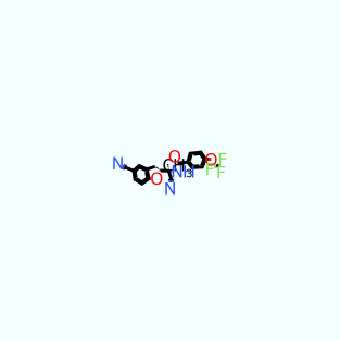 C[C@@](C#N)(NC(=O)c1ccc(OC(F)(F)F)cc1)[C@H]1Cc2cc(C#N)ccc2O1